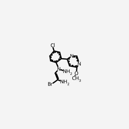 COc1cc(-c2cc(Cl)ccc2N(N)/C=C(\N)Br)ncn1